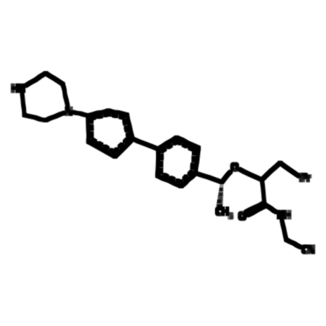 CC(C)CC(O[C@H](C)c1ccc(-c2ccc(N3CCNCC3)cc2)cc1)C(=O)NCC#N